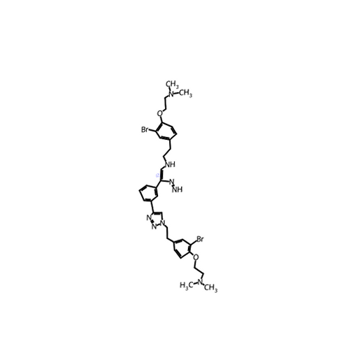 CN(C)CCOc1ccc(CCN/C=C(\N=N)c2cccc(-c3cn(CCc4ccc(OCCN(C)C)c(Br)c4)nn3)c2)cc1Br